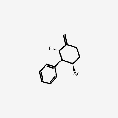 C=C1CC[C@@H](C(C)=O)[C@@H](c2ccccc2)[C@@H]1F